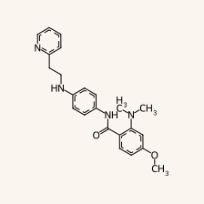 COc1ccc(C(=O)Nc2ccc(NCCc3ccccn3)cc2)c(N(C)C)c1